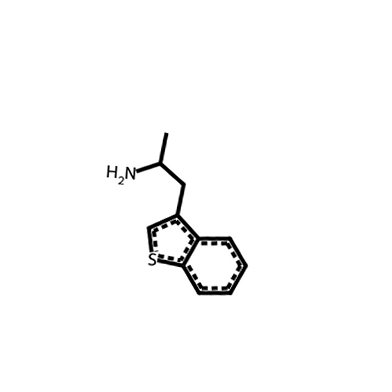 CC(N)Cc1csc2ccccc12